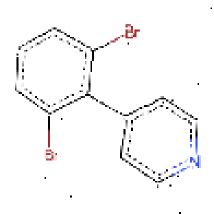 Brc1cccc(Br)c1-c1c[c]ncc1